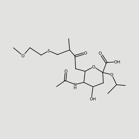 COCCSCC(C)C(=O)CC1OC(OC(C)C)(C(=O)O)CC(O)C1NC(C)=O